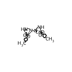 Cc1ccc(S(=O)(=O)N2CCNCCN(CCN3CCNCCN(S(=O)(=O)c4ccc(C)cc4)CC3)CC2)cc1